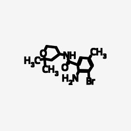 Cc1cc(Br)c(N)c(C(=O)NC2CCOC(C)(C)C2)c1